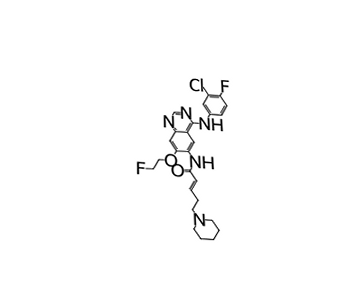 O=C(C=CCCN1CCCCC1)Nc1cc2c(Nc3ccc(F)c(Cl)c3)ncnc2cc1OCCF